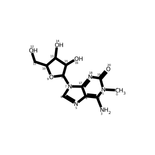 Cn1c(N)c2ncn(C3OC(CO)C(O)C3O)c2nc1=O